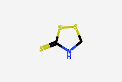 S=C1NCSS1